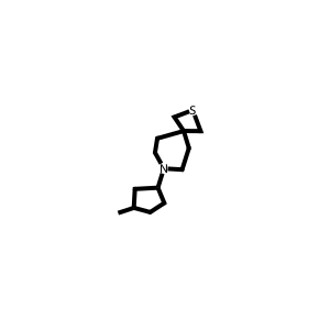 CC1CCC(N2CCC3(CC2)CSC3)C1